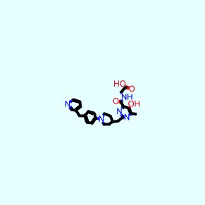 Cc1nc(CC2CCN(c3ccc(Cc4cccnc4)cc3)CC2)nc(C(=O)NCC(=O)O)c1O